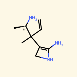 C=CC(C)(C1=C(N)NC1)[C@@H](C)N